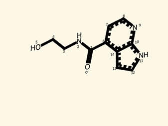 O=C(NCCO)c1ccnc2[nH]ccc12